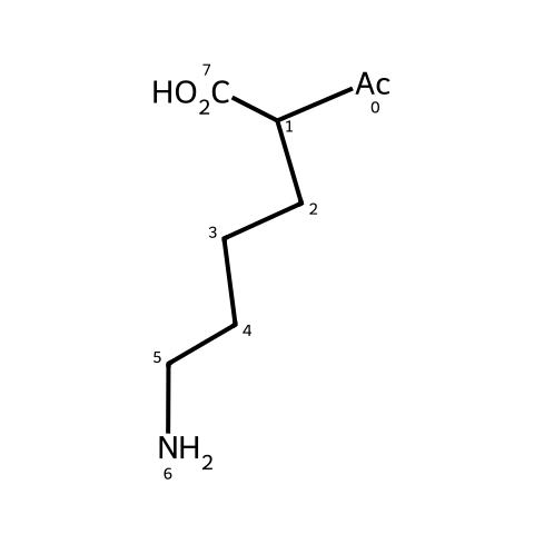 CC(=O)C(CCCCN)C(=O)O